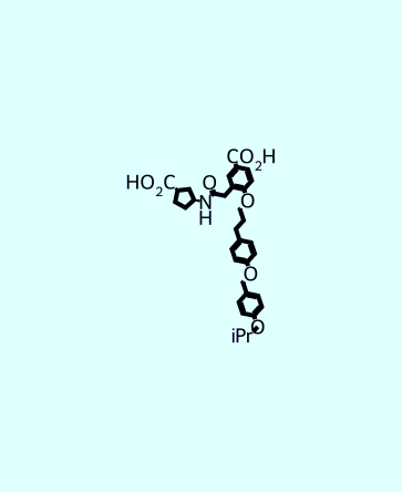 CC(C)Oc1ccc(COc2ccc(CCCOc3ccc(C(=O)O)cc3CC(=O)N[C@H]3CC[C@@H](C(=O)O)C3)cc2)cc1